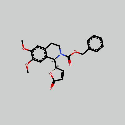 COc1cc2c(cc1OC)[C@H]([C@@H]1C=CC(=O)O1)N(C(=O)OCc1ccccc1)CC2